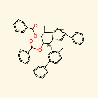 Cc1ccc(-c2ccccc2)cc1[C@H]1c2cc(-c3ccccc3)ccc2C(C)C(OC(=O)c2ccccc2)C1OC(=O)c1ccccc1